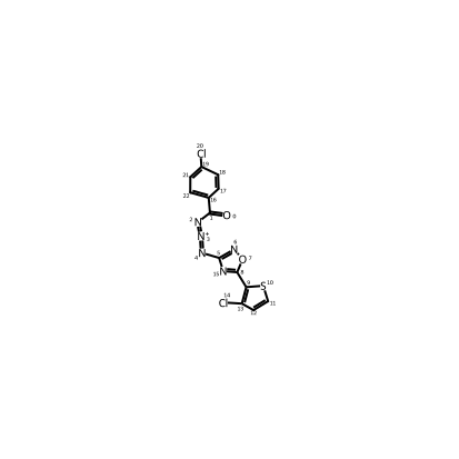 O=C(N=[N+]=Nc1noc(-c2sccc2Cl)n1)c1ccc(Cl)cc1